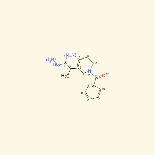 Cc1c(NN)nnc2c1CN(C(=O)c1ccccc1)CC2